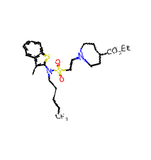 CCOC(=O)C1CCN(CCS(=O)(=O)N(CCCCC(F)(F)F)c2sc3ccccc3c2C)CC1